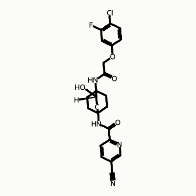 N#Cc1ccc(C(=O)NC23CCC(NC(=O)COc4ccc(Cl)c(F)c4)(CC2)[C@@H](O)C3)nc1